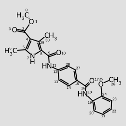 COC(=O)c1c(C)[nH]c(C(=O)Nc2ccc(C(=O)Nc3ccccc3OC)cc2)c1C